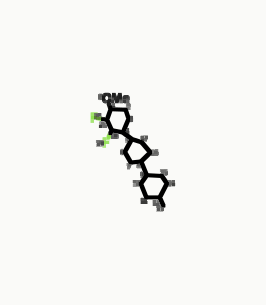 COC1CCC(C2CCC(C3CCC(C)CC3)CC2)C(F)C1F